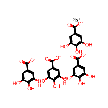 O=C([O-])c1cc(O)c(O)c(O)c1.O=C([O-])c1cc(O)c(O)c(O)c1.O=C([O-])c1cc(O)c(O)c(O)c1.O=C([O-])c1cc(O)c(O)c(O)c1.[Pb+4]